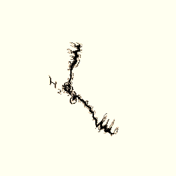 CCCCCCCCCCCCCCCCCC(=O)OCC(CN)OC(=O)CCCCCCCCCCC